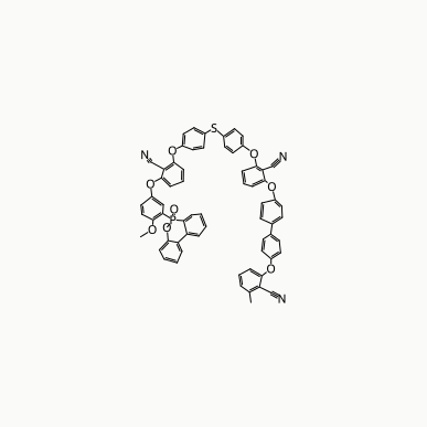 COc1ccc(Oc2cccc(Oc3ccc(Sc4ccc(Oc5cccc(Oc6ccc(-c7ccc(Oc8cccc(C)c8C#N)cc7)cc6)c5C#N)cc4)cc3)c2C#N)cc1P1(=O)Oc2ccccc2-c2ccccc21